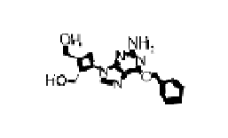 Nc1nc(OCc2ccccc2)c2ncn([C@@H]3C[C@H](CO)[C@H]3CO)c2n1